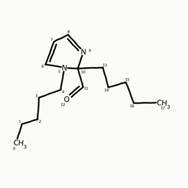 CCCCCN1C=CC=NC1(C=O)CCCCC